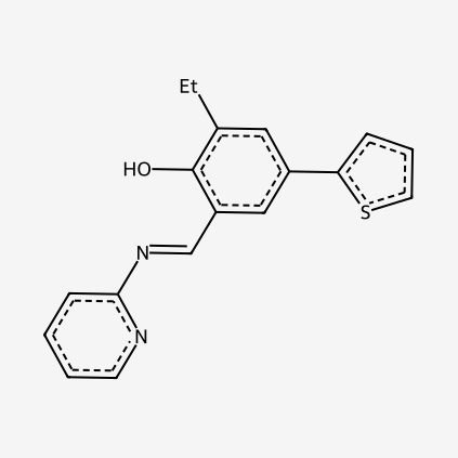 CCc1cc(-c2cccs2)cc(/C=N/c2ccccn2)c1O